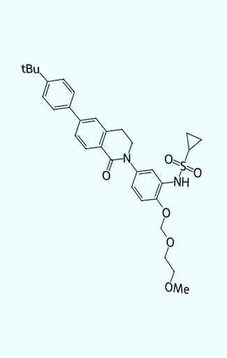 COCCOCOc1ccc(N2CCc3cc(-c4ccc(C(C)(C)C)cc4)ccc3C2=O)cc1NS(=O)(=O)C1CC1